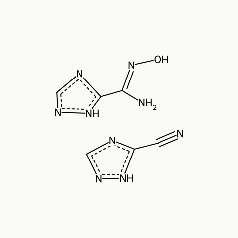 N#Cc1ncn[nH]1.NC(=NO)c1ncn[nH]1